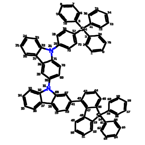 c1ccc([Si](c2ccccc2)(c2ccccc2)c2ccc(-n3c4ccccc4c4cc(-n5c6ccccc6c6ccc(-c7cccc8c7-c7ccccc7[Si]8(c7ccccc7)c7ccccc7)cc65)ccc43)cc2)cc1